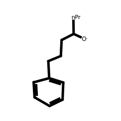 CCCC([O])CCCc1ccccc1